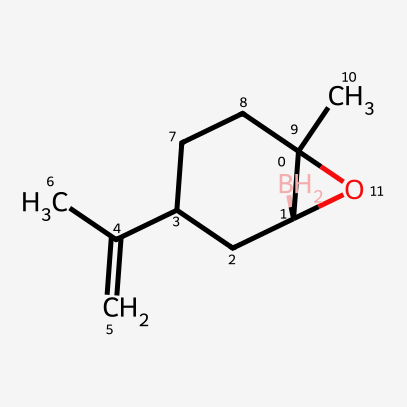 BC12CC(C(=C)C)CCC1(C)O2